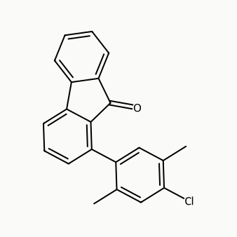 Cc1cc(-c2cccc3c2C(=O)c2ccccc2-3)c(C)cc1Cl